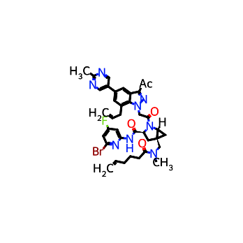 C=CCCCC(=O)N(C)C[C@@]12C[C@@H](C(=O)Nc3cc(F)cc(Br)n3)N(C(=O)Cn3nc(C(C)=O)c4cc(-c5cnc(C)nc5)cc(CC=C)c43)[C@@H]1C2